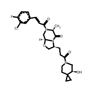 C[C@H]1C(=O)N2[C@@H](CCC(=O)N3CCC4(CC4)[C@H](O)C3)CO[C@H]2CN1C(=O)/C=C/c1ccc(F)c(Cl)c1